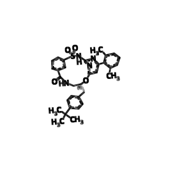 Cc1cccc(C)c1-c1cc2nc(n1)NS(=O)(=O)c1cccc(c1)C(=O)NC[C@@H](Cc1ccc(C(C)(C)C)cc1)O2